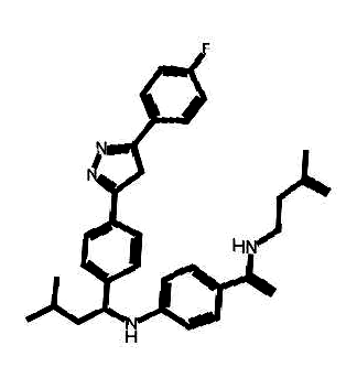 C=C(C)CCNC(=C)c1ccc(NC(CC(C)C)c2ccc(C3=NN=C(c4ccc(F)cc4)C3)cc2)cc1